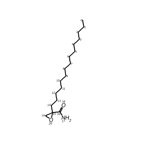 CCCCCCCCCCCCCCCC1(C(N)=O)CO1